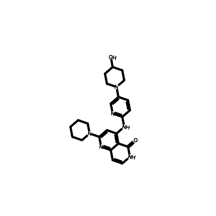 O=c1[nH]ccc2nc(N3CCCCC3)cc(Nc3ccc(N4CCC(O)CC4)cn3)c12